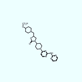 O=C(O)OC1CCN(CC2CN(C3CCN(c4ccnc(Nc5ncccn5)n4)CC3)C(=O)O2)CC1